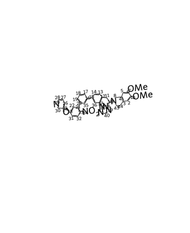 COc1cc2c(cc1OC)CN(C(Cc1ccc(-c3cccc(-c4cc(Oc5cccnc5)ccc4[N+](=O)[O-])c3)cc1)n1ncnn1)CC2